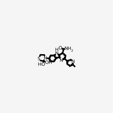 Cc1ccc(-c2cc(C(N)=O)c3[nH]c4cc(N5CCSCC5(O)O)ccc4c3n2)cn1